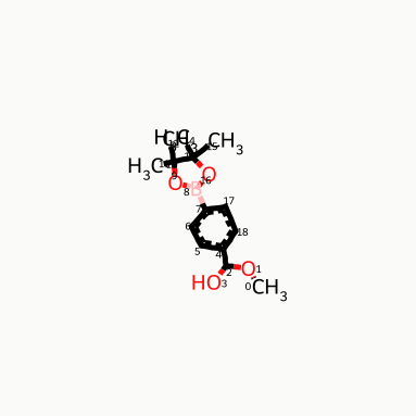 COC(O)c1ccc(B2OC(C)(C)C(C)(C)O2)cc1